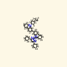 C[Si](C)(C)c1ccc(-n2c3ccccc3c3ccc(-c4ccc5c6ccccc6n(-c6nc(-c7ccccc7)cc(-c7ccccc7)n6)c5c4)cc32)cc1